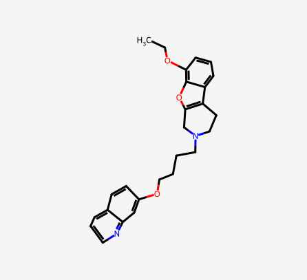 CCOc1cccc2c3c(oc12)CN(CCCCOc1ccc2cccnc2c1)CC3